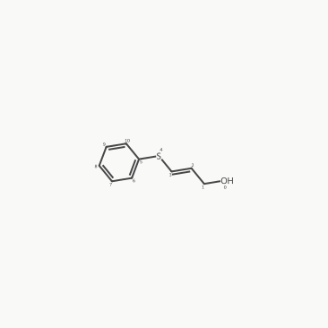 OCC=CSc1ccccc1